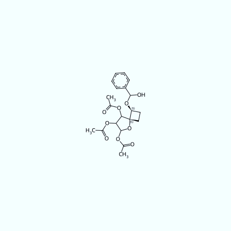 CC(=O)OC1O[C@]2(CC[C@@H]2OC(O)c2ccccc2)C(OC(C)=O)C1OC(C)=O